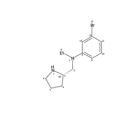 CCN(C[C@@H]1CCCN1)c1cccc(Br)c1